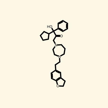 O=C(CN1CCCN(CCc2ccc3c(c2)CCO3)CC1)C(O)(c1ccccc1)C1CCCC1